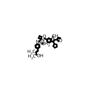 C=C(O)/C(C)=C/c1ccc2nc(C3(NC(=O)c4ccc5c(C6CCCC6)c(-c6ccoc6)n(C)c5c4)CCC3)n(C)c2c1